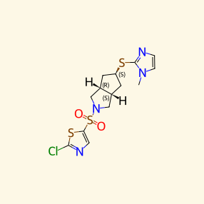 Cn1ccnc1S[C@H]1C[C@@H]2CN(S(=O)(=O)c3cnc(Cl)s3)C[C@@H]2C1